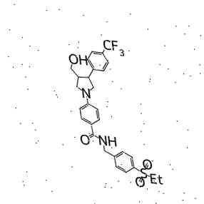 CCS(=O)(=O)c1ccc(CNC(=O)c2ccc(N3CC(CO)C(c4ccc(C(F)(F)F)cc4)C3)cc2)cc1